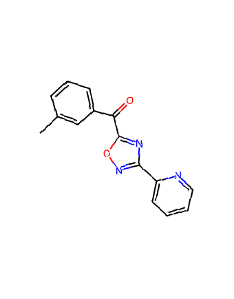 Cc1cccc(C(=O)c2nc(-c3ccccn3)no2)c1